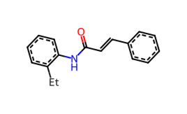 CCc1ccccc1NC(=O)C=Cc1ccccc1